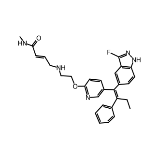 CC/C(=C(/c1ccc(OCCNC/C=C/C(=O)NC)nc1)c1ccc2[nH]nc(F)c2c1)c1ccccc1